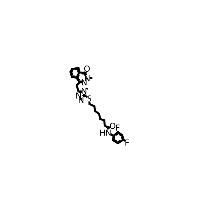 Cn1c(Cc2nn(C)c(=O)c3ccccc23)nnc1SCCCCCCCC(=O)Nc1ccc(F)cc1F